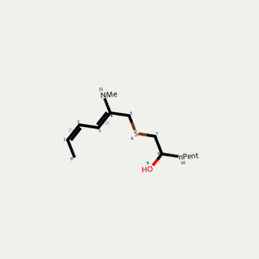 C/C=C\C=C(\CSCC(O)CCCCC)NC